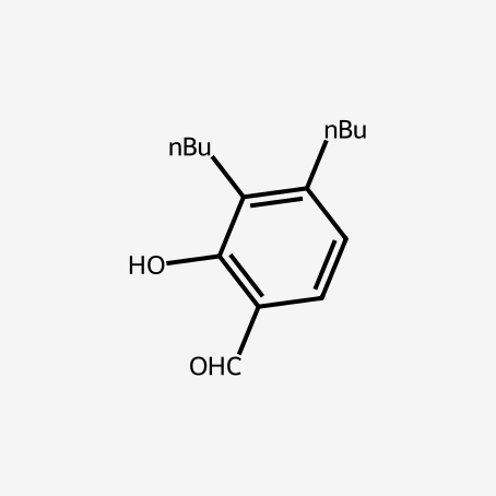 CCCCc1ccc(C=O)c(O)c1CCCC